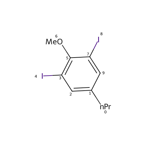 CCCc1cc(I)c(OC)c(I)c1